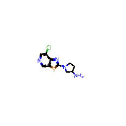 NC1CCN(c2nc3c(Cl)cncc3s2)C1